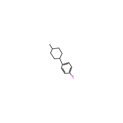 CC1CCC(c2ccc(I)cc2)CC1